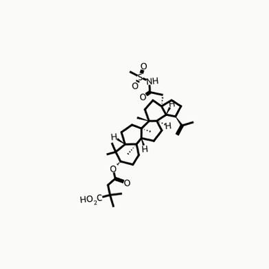 C=C(C)[C@@H]1CC[C@]2(CC(=O)NS(C)(=O)=O)CC[C@]3(C)[C@H](CC[C@@H]4[C@@]5(C)CC[C@H](OC(=O)CC(C)(C)C(=O)O)C(C)(C)[C@@H]5CC[C@]43C)[C@@H]12